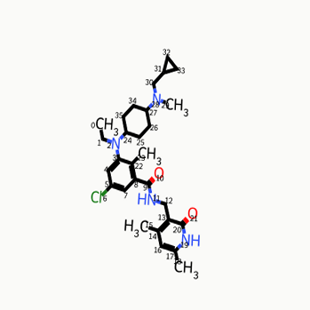 CCN(c1cc(Cl)cc(C(=O)NCc2c(C)cc(C)[nH]c2=O)c1C)C1CCC(N(C)CC2CC2)CC1